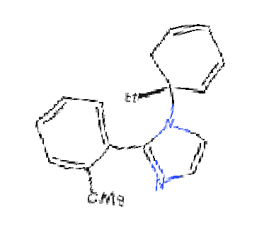 CC[C@]1(n2ccnc2-c2ccccc2OC)C=CC=CC1